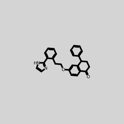 O=C1CCC(c2ccccc2)c2cc(OCCc3ccccc3-c3ncc[nH]3)ccc21